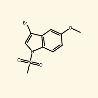 COc1ccc2c(c1)c(Br)cn2S(C)(=O)=O